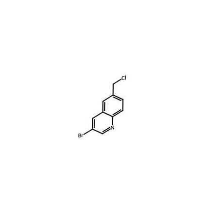 ClCc1ccc2ncc(Br)cc2c1